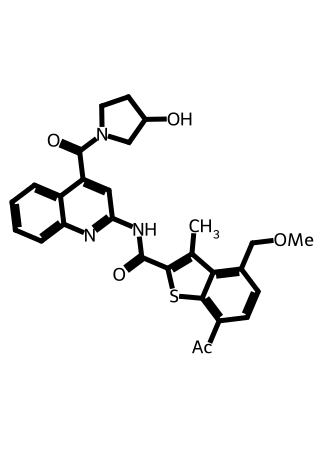 COCc1ccc(C(C)=O)c2sc(C(=O)Nc3cc(C(=O)N4CCC(O)C4)c4ccccc4n3)c(C)c12